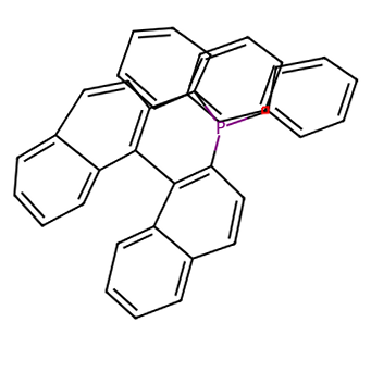 c1ccc(-c2ccc3ccccc3c2-c2c(P(c3ccccc3)c3ccccc3)ccc3ccccc23)cc1